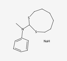 CN(c1ccccc1)C1SCCCCCCS1.[NaH]